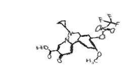 COc1cc2c(cc1OS(=O)(=O)C(F)(F)F)CN(C1CC1)n1cc(C(=O)O)c(=O)cc1-2